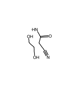 N#CCC([NH])=O.OCCO